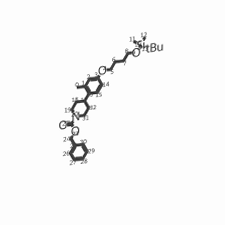 Cc1cc(OCCCCO[Si](C)(C)C(C)(C)C)ccc1C1CCN(C(=O)OCc2ccccc2)CC1